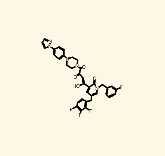 O=C(C=C(O)c1cc(Cc2ccc(F)c(F)c2F)cn(Cc2cccc(F)c2)c1=O)C(=O)N1CCN(c2ccc(-n3cccn3)cc2)CC1